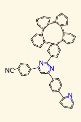 N#Cc1ccc(-c2cc(-c3ccc(-c4ccccn4)cc3)nc(-c3ccc4c5ccccc5c5ccccc5c5ccccc5c5ccccc5c4c3)n2)cc1